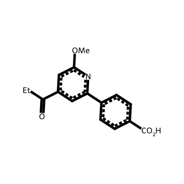 CCC(=O)c1cc(OC)nc(-c2ccc(C(=O)O)cc2)c1